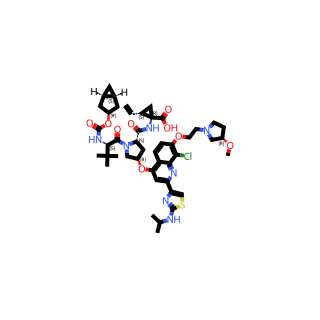 C=C[C@@H]1C[C@]1(NC(=O)[C@@H]1C[C@@H](Oc2cc(-c3csc(NC(C)C)n3)nc3c(Cl)c(OCCN4CC[C@@H](OC)C4)ccc23)CN1C(=O)[C@@H](NC(=O)O[C@@H]1C[C@@H]2C[C@@H]2C1)C(C)(C)C)C(=O)O